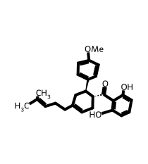 COc1ccc([C@@H]2CC(CCC=C(C)C)=CC[C@H]2C(=O)c2c(O)cccc2O)cc1